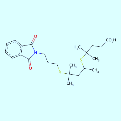 CC(CC(C)(C)SCCCN1C(=O)c2ccccc2C1=O)SC(C)(C)CCC(=O)O